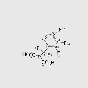 O=C(O)C(C(=O)O)C(F)(F)c1ccc(F)c(F)c1F